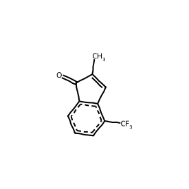 CC1=Cc2c(cccc2C(F)(F)F)C1=O